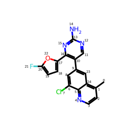 Cc1ccnc2c(Cl)cc(-c3cnc(N)nc3-c3ccc(F)o3)cc12